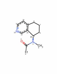 CCC(=O)N(C)[C@@H]1CCCc2ccncc21